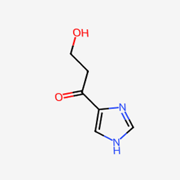 O=C(CCO)c1c[nH]cn1